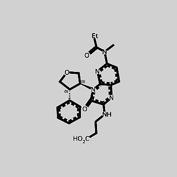 CCC(=O)N(C)c1ccc2nc(NCCC(=O)O)c(=O)n([C@@H]3COC[C@H]3c3ccccc3)c2n1